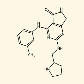 Cc1cccc(Nc2nc(NCC3CCCN3)nc3c2C(=O)NC3)c1